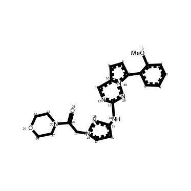 COc1ccccc1-c1ccc2cnc(Nc3ccn(CC(=O)N4CCOCC4)n3)nn12